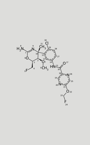 CO[C@H]1[C@@H](CF)OC(N)=N[C@]1(C)c1cc(NC(=O)c2cnc(OCF)cn2)ccc1Cl